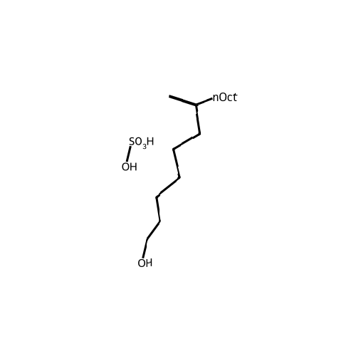 CCCCCCCCC(C)CCCCCCO.O=S(=O)(O)O